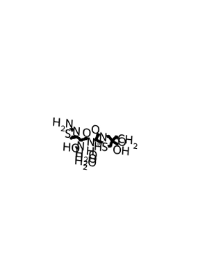 C=CC1(C(=O)O)CS[C@@H]2C(NC(=O)C(=NO)c3csc(N)n3)C(=O)N2C1.O.O.O